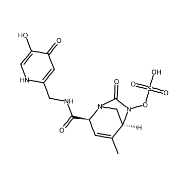 CC1=C[C@@H](C(=O)NCc2cc(=O)c(O)c[nH]2)N2C[C@H]1N(OS(=O)(=O)O)C2=O